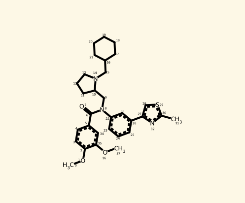 COc1ccc(C(=O)N(CC2CCCN2CC2CCCCC2)c2cccc(-c3csc(C)n3)c2)cc1OC